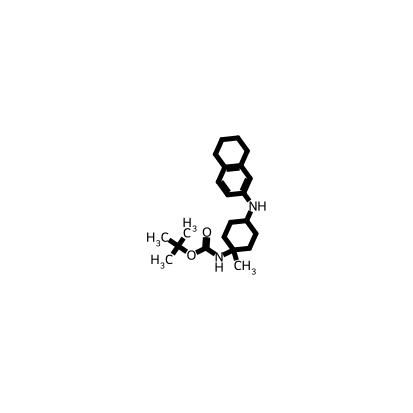 CC1(NC(=O)OC(C)(C)C)CCC(Nc2ccc3c(c2)CCCC3)CC1